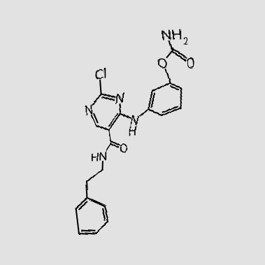 NC(=O)Oc1cccc(Nc2nc(Cl)ncc2C(=O)NCCc2ccccc2)c1